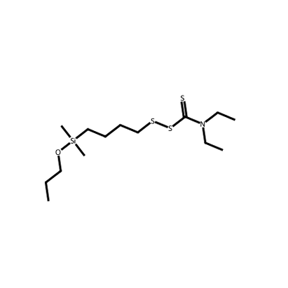 CCCO[Si](C)(C)CCCCSSC(=S)N(CC)CC